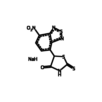 O=C1NC(=S)SC1c1ccc([N+](=O)[O-])c2nsnc12.[NaH]